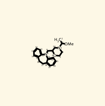 COC(C)N1CCOC(CN2c3ccccc3CCc3ccccc32)C1